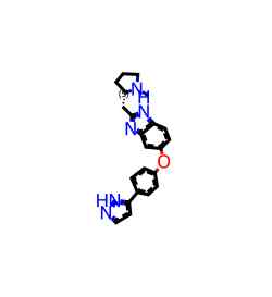 CN1CCC[C@H]1Cc1nc2cc(Oc3ccc(-c4ccn[nH]4)cc3)ccc2[nH]1